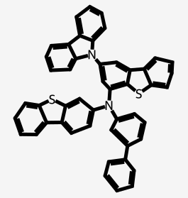 c1ccc(-c2cccc(N(c3ccc4c(c3)sc3ccccc34)c3cc(-n4c5ccccc5c5ccccc54)cc4c3sc3ccccc34)c2)cc1